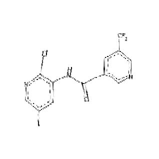 Cc1cnc(Cl)c(NC(=O)c2cncc(C(F)(F)F)c2)c1